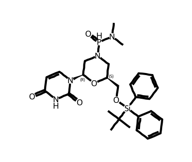 CN(C)[PH](=O)N1C[C@@H](CO[Si](c2ccccc2)(c2ccccc2)C(C)(C)C)O[C@@H](n2ccc(=O)[nH]c2=O)C1